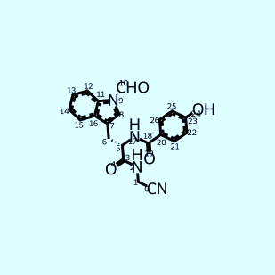 N#CCNC(=O)[C@H](Cc1cn(C=O)c2ccccc12)NC(=O)c1ccc(O)cc1